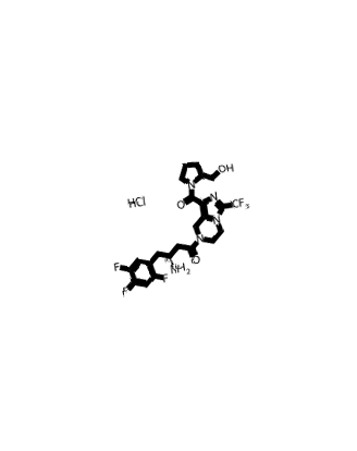 Cl.N[C@@H](CC(=O)N1CCn2c(C(F)(F)F)nc(C(=O)N3CCCC3CO)c2C1)Cc1cc(F)c(F)cc1F